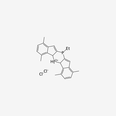 CCP1C2=Cc3c(C)ccc(C)c3[CH]2[Hf+2][CH]2C1=Cc1c(C)ccc(C)c12.[Cl-].[Cl-]